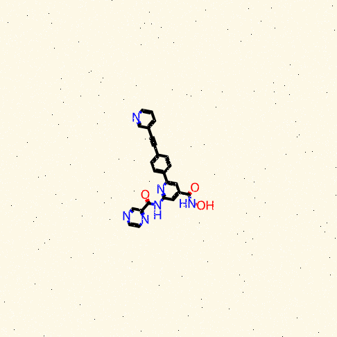 O=C(NO)c1cc(NC(=O)c2cnccn2)nc(-c2ccc(C#Cc3cccnc3)cc2)c1